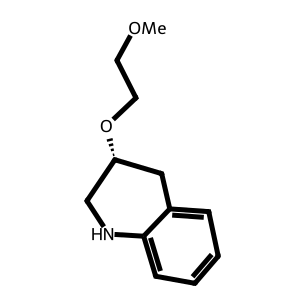 COCCO[C@H]1CNc2ccccc2C1